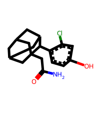 NC(=O)CC12CC3CC(CC(C3)C1c1ccc(O)cc1Cl)C2